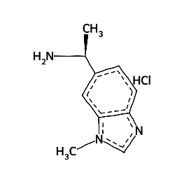 C[C@H](N)c1ccc2ncn(C)c2c1.Cl